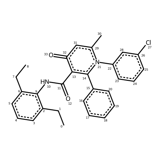 CCc1cccc(CC)c1NC(=O)c1c(-c2ccccc2)n(-c2cccc(Cl)c2)c(C)cc1=O